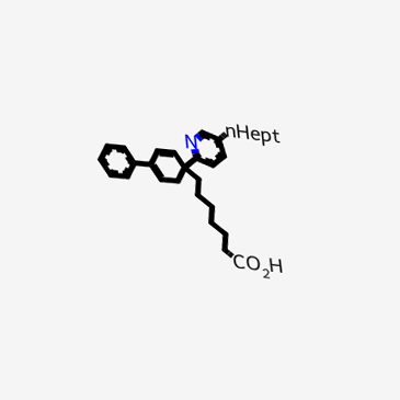 CCCCCCCc1ccc(C2(CCCCCCC(=O)O)C=CC(c3ccccc3)=CC2)nc1